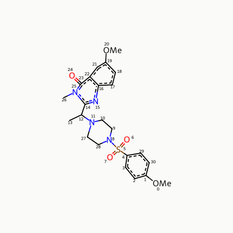 COc1ccc(S(=O)(=O)N2CCN(C(C)c3nc4ccc(OC)cc4c(=O)n3C)CC2)cc1